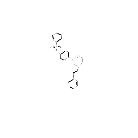 O=S(=O)(Oc1ccc([C@@H]2CN(C=Cc3ccccc3)CCO2)cc1)c1ccccc1